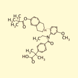 CCN(C(=O)c1ccc(C(C)(C)C(=O)O)cc1)c1cc(OC)ccc1[C@@H]1CCc2cc(OC(=O)C(C)(C)C)ccc2C1